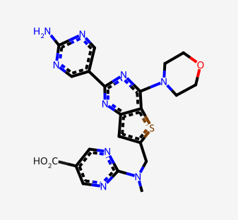 CN(Cc1cc2nc(-c3cnc(N)nc3)nc(N3CCOCC3)c2s1)c1ncc(C(=O)O)cn1